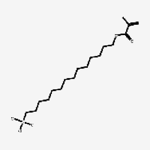 C=C(C)C(=O)OCCCCCCCCCCCCCC[Si](Cl)(Cl)Cl